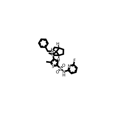 Cc1sc(S(=O)(=O)Nc2cccc(F)n2)cc1N(C)[C@H]1[C@@H]2CC[C@H]1CN(Cc1ccccc1)C2